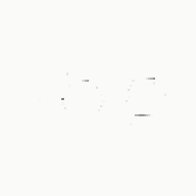 CCC(NC(=O)c1c(Cl)cccc1Cl)C(N)=S